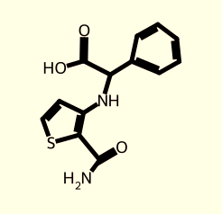 NC(=O)c1sccc1NC(C(=O)O)c1ccccc1